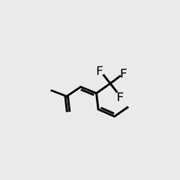 C=C(C)/C=C(\C=C/C)C(F)(F)F